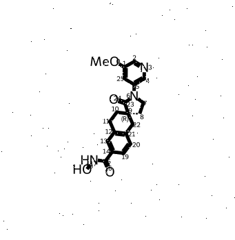 COc1cncc(N2CC[C@]3(CCc4cc(C(=O)NO)ccc4C3)C2=O)c1